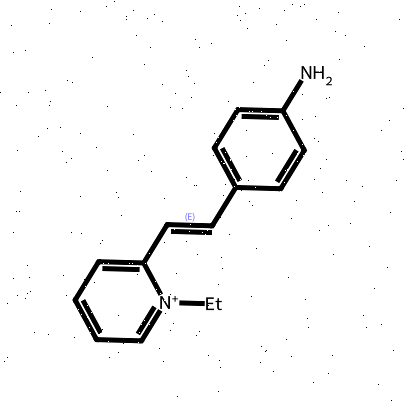 CC[n+]1ccccc1/C=C/c1ccc(N)cc1